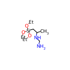 CCO[Si](CC(C)NCN)(OCC)OCC